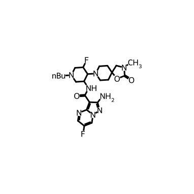 CCCCN1CC(F)C(N2CCC3(CC2)CN(C)C(=O)O3)C(NC(=O)c2c(N)nn3cc(F)cnc23)C1